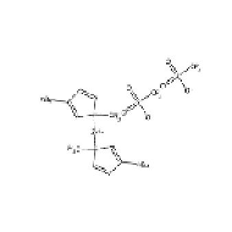 CCCCC1=C[C](C)([Zr+2][C]2(C)C=CC(CCCC)=C2)C=C1.O=S(=O)([O-])C(F)(F)F.O=S(=O)([O-])C(F)(F)F